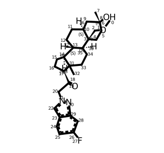 COC[C@]12CC[C@@](C)(O)C[C@@H]1CC[C@H]1[C@@H]3CC[C@H](C(=O)Cn4cc5ccc(F)cc5n4)C3(C)CC[C@@H]12